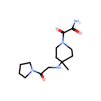 CC1(NCC(=O)N2CCCC2)CCN(C(=O)C(N)=O)CC1